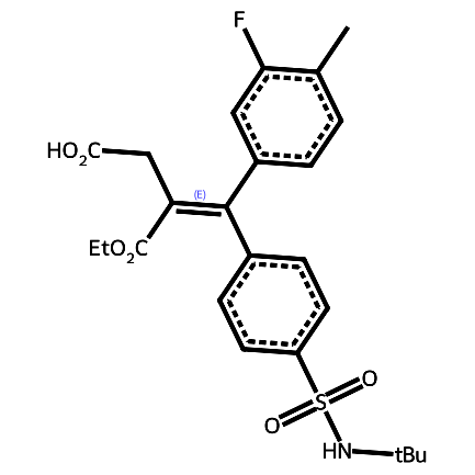 CCOC(=O)/C(CC(=O)O)=C(\c1ccc(S(=O)(=O)NC(C)(C)C)cc1)c1ccc(C)c(F)c1